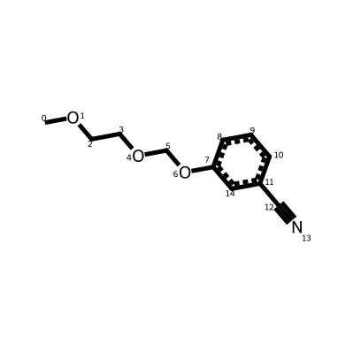 COCCOCOc1cccc(C#N)c1